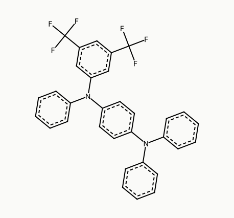 FC(F)(F)c1cc(N(c2ccccc2)c2ccc(N(c3ccccc3)c3ccccc3)cc2)cc(C(F)(F)F)c1